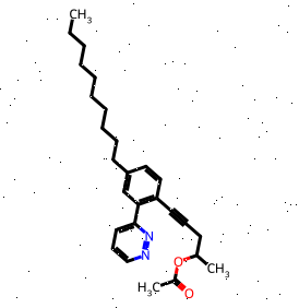 CCCCCCCCCCc1ccc(C#CCC(C)OC(C)=O)c(-c2cccnn2)c1